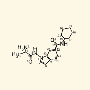 CC(N)C(=O)Nn1ccc2ccc(C(=O)NC3CCCCC3)cc21